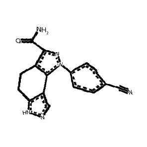 N#Cc1ccc(-n2nc(C(N)=O)c3c2-c2cn[nH]c2CC3)cc1